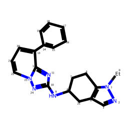 CCn1ncc2c1CCC(Nc1nc3c(-c4ccccc4)cccn3n1)C2